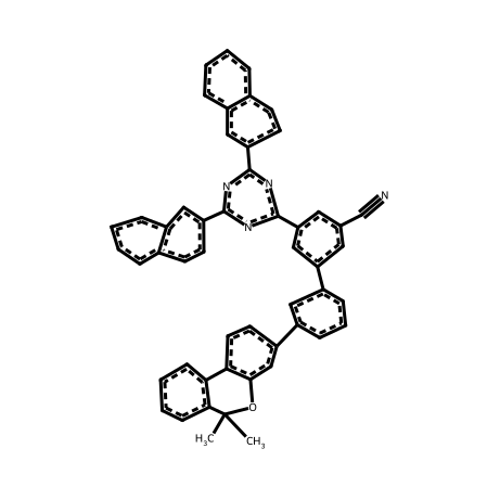 CC1(C)Oc2cc(-c3cccc(-c4cc(C#N)cc(-c5nc(-c6ccc7ccccc7c6)nc(-c6ccc7ccccc7c6)n5)c4)c3)ccc2-c2ccccc21